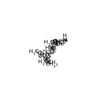 CCOC(=O)COc1c(C(=O)OC(C)(C)C)sc(-c2ccc(F)c(N[C@@H]3CCN(S(=O)(=O)Cc4cccc(NI)c4)C(C)(C)C3)c2)c1Cl